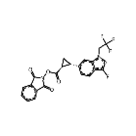 O=C(ON1C(=O)c2ccccc2C1=O)[C@H]1C[C@@H]1c1ccc2c(F)nn(CC(F)(F)F)c2c1